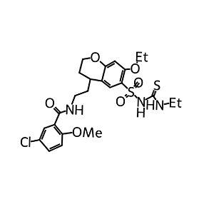 CCNC(=S)NS(=O)(=O)c1cc2c(cc1OCC)OCCC2CCNC(=O)c1cc(Cl)ccc1OC